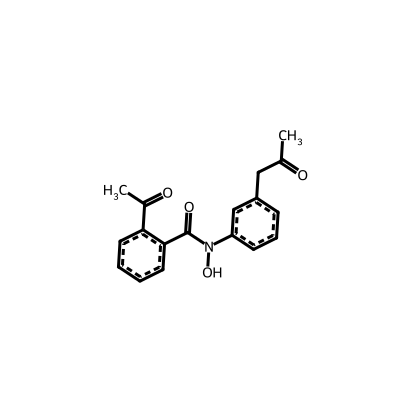 CC(=O)Cc1cccc(N(O)C(=O)c2ccccc2C(C)=O)c1